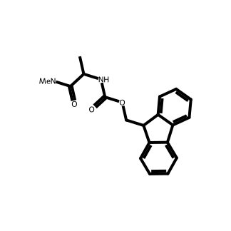 CNC(=O)C(C)NC(=O)OCC1c2ccccc2-c2ccccc21